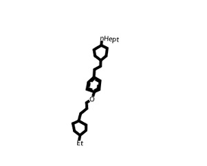 CCCCCCCC1CCC(CCc2ccc(OCCCC3CCC(CC)CC3)cc2)CC1